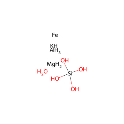 O.O[Si](O)(O)O.[AlH3].[Fe].[KH].[MgH2]